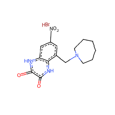 Br.O=c1[nH]c2cc([N+](=O)[O-])cc(CN3CCCCCC3)c2[nH]c1=O